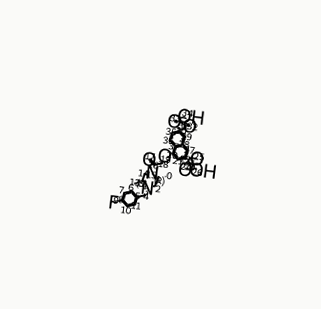 C[C@@H]1CN(Cc2ccc(F)cc2)[C@@H](C)CN1C(=O)COc1cc(S(=O)(=O)O)cc2cc(S(=O)(=O)O)ccc12